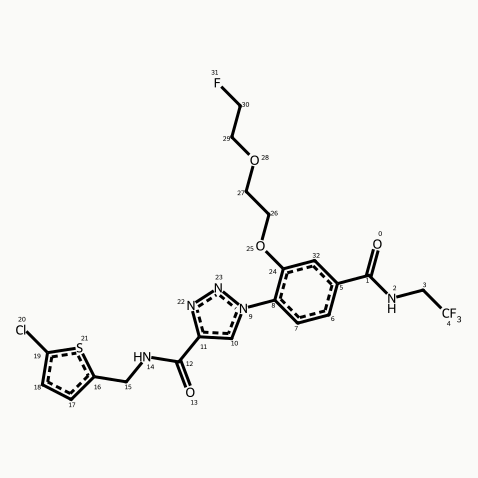 O=C(NCC(F)(F)F)c1ccc(-n2cc(C(=O)NCc3ccc(Cl)s3)nn2)c(OCCOCCF)c1